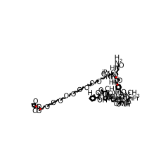 CCC(C)[C@@H]([C@@H](CC(=O)N1CCC[C@H]1[C@H](OC)[C@@H](C)C(=O)N[C@H](C)[C@@H](O)c1ccccc1)OC)N(C)C(=O)[C@@H](NC(=O)[C@H](C(C)C)N(C)C(=O)OCc1ccc(NC(=O)[C@H](CCCNC(N)=O)NC(=O)[C@@H](NC(=O)CCOCCOCCOCCOCCOCCOCCOCCOCCOCCC(=O)ON2C(=O)CCC2=O)C(C)C)cc1)C(C)C